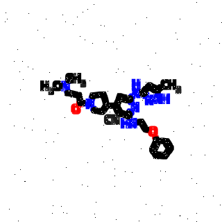 [C-]#[N+]c1c(C2CCN(C(=O)CCN(C)C)CC2)cc(Nc2cc(C)[nH]n2)nc1NCCOc1ccccc1